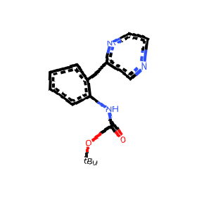 CC(C)(C)OC(=O)Nc1ccccc1-c1cnccn1